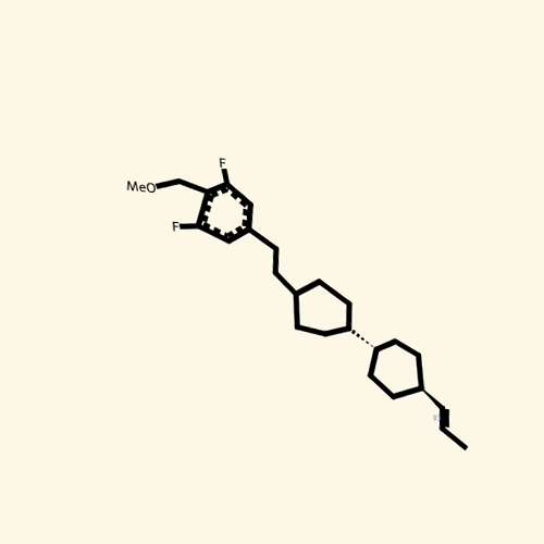 C/C=C/[C@H]1CC[C@H](C2CCC(CCc3cc(F)c(COC)c(F)c3)CC2)CC1